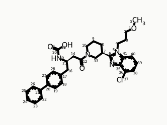 COCCCn1c([C@@H]2CCCN(C(=O)C[C@@H](Cc3ccc(-c4ccccc4)cc3)NC(=O)O)C2)nc2c(Cl)cccc21